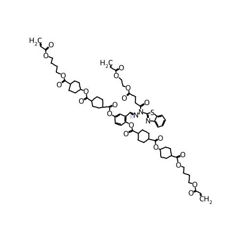 C=CC(=O)OCCCCOC(=O)C1CCC(OC(=O)C2CCC(C(=O)Oc3ccc(OC(=O)C4CCC(C(=O)OC5CCC(C(=O)OCCCCOC(=O)C=C)CC5)CC4)c(/C=N/N(C(=O)CCC(=O)OCCOC(=O)C=C)c4nc5ccccc5s4)c3)CC2)CC1